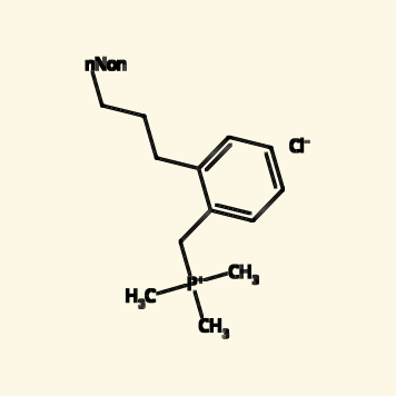 CCCCCCCCCCCCc1ccccc1C[P+](C)(C)C.[Cl-]